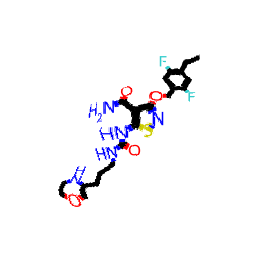 CCc1cc(F)c(COc2nsc(NC(=O)NCCCC3COCCN3)c2C(N)=O)cc1F